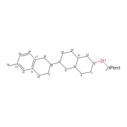 CCCCCOC1CCC2CC(C3CCc4cc(C)ccc4C3)CCC2C1